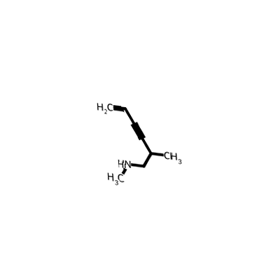 C=CC#CC(C)CNC